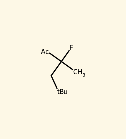 CC(=O)C(C)(F)CC(C)(C)C